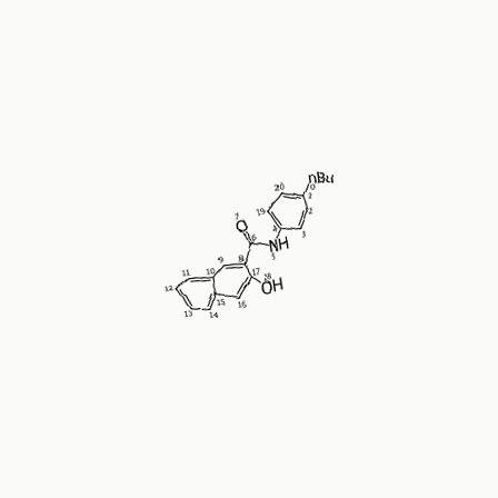 CCCCc1ccc(NC(=O)c2cc3ccccc3cc2O)cc1